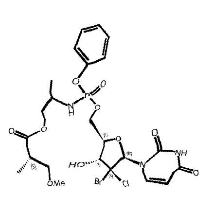 COC[C@H](C)C(=O)OCC(C)NP(=O)(OC[C@H]1O[C@@H](n2ccc(=O)[nH]c2=O)[C@](Cl)(Br)[C@@H]1O)Oc1ccccc1